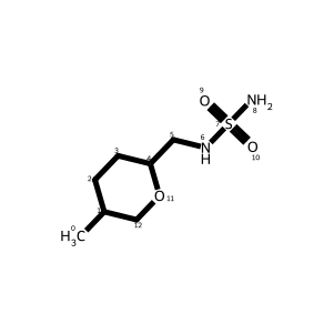 CC1CCC(CNS(N)(=O)=O)OC1